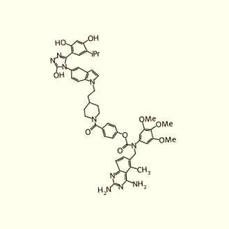 COc1cc(N(Cc2ccc3nc(N)nc(N)c3c2C)C(=O)Oc2ccc(C(=O)N3CCC(CCn4ccc5cc(-n6c(O)nnc6-c6cc(C(C)C)c(O)cc6O)ccc54)CC3)cc2)cc(OC)c1OC